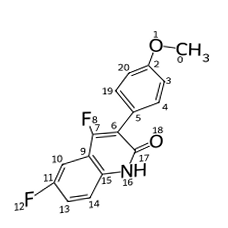 COc1ccc(-c2c(F)c3cc(F)ccc3[nH]c2=O)cc1